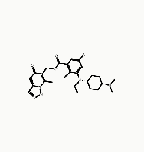 CCN(c1cc(Cl)cc(C(=O)NCc2c(C)n3[nH]ncc3cc2=O)c1C)[C@H]1CC[C@H](N(C)C)CC1